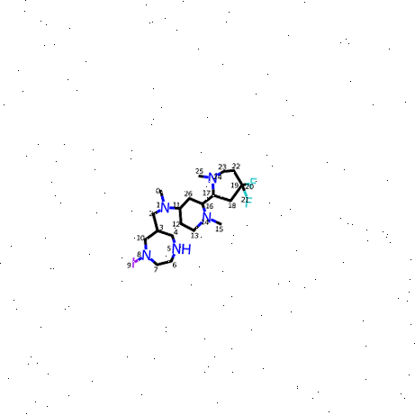 CN(CC1CNCCN(I)C1)C1CCN(C)C(C2CC(F)(F)CCN2C)C1